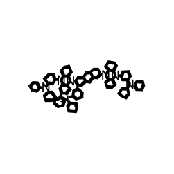 c1ccc(N(c2ccccc2)c2cccc(N3c4ccccc4N(c4ccc5cc6cc(N7c8ccccc8N(c8cccc(N(c9ccccc9)c9ccccc9)c8)c8cc9c(cc87)[Si](c7ccccc7)(c7ccccc7)c7ccccc7-9)ccc6cc5c4)c4ccccc43)c2)cc1